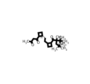 CC(=O)CC(=O)C1CC[C@@H]1CCC1CCC1C(=O)C(C)(CC(C)(C)C)C(C)(C)C